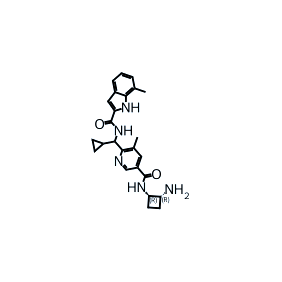 Cc1cc(C(=O)N[C@@H]2CC[C@H]2N)cnc1C(NC(=O)c1cc2cccc(C)c2[nH]1)C1CC1